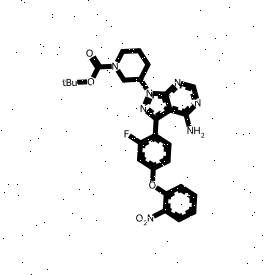 CC(C)(C)OC(=O)N1CCCC(n2nc(-c3ccc(Oc4ccccc4[N+](=O)[O-])cc3F)c3c(N)ncnc32)C1